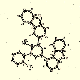 N#Cc1ccccc1-c1cc(-c2cccc3sc4ccccc4c23)cc(-c2ccc3oc4ccccc4c3c2)c1C#N